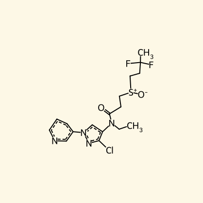 CCN(C(=O)CC[S+]([O-])CCC(C)(F)F)c1cn(-c2cccnc2)nc1Cl